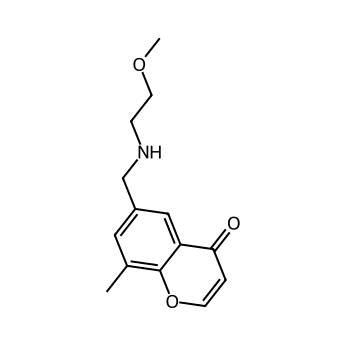 COCCNCc1cc(C)c2occc(=O)c2c1